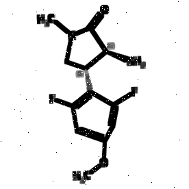 COc1cc(F)c([C@@H]2CN(C)C(=O)[C@H]2N)c(F)c1